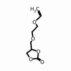 C=COCCOCC1COC(=O)O1